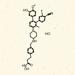 COc1ccc(-c2cnc(N3CCC(NCc4ccc(CCC(=O)NO)cc4)CC3)c(C)c2-c2ccc(C#N)c(F)c2)cc1O.Cl